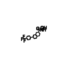 O=C(NO)C1CCc2ccc(-c3ccc(C(F)(F)F)cc3)cc2C1